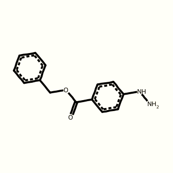 NNc1ccc(C(=O)OCc2ccccc2)cc1